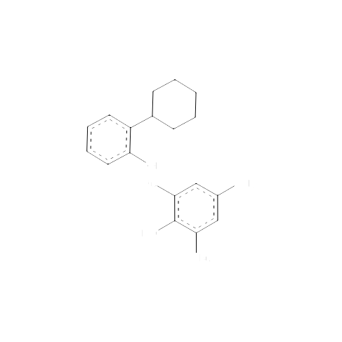 Cc1cc(C(C)(C)C)c(O)c(C(C)(C)C)c1.Oc1ccccc1C1CCCCC1